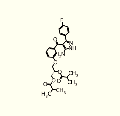 CC(C)C(=O)OC[C@H](COc1cccc(C(=O)c2c(-c3ccc(F)cc3)n[nH]c2N)c1)OC(=O)C(C)C